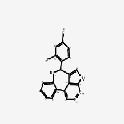 Fc1ccc(C2Nc3ccccc3-c3cnnc4[nH]cc2c34)c(F)c1